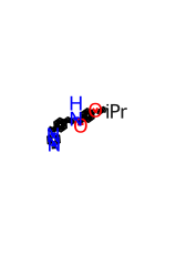 CC(C)CCOc1ccc(C(=O)NCCc2ccc(C(C)N3CCN(C)CC3)cc2)cc1